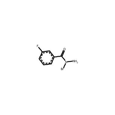 NN(Br)C(=O)c1cccc(F)c1